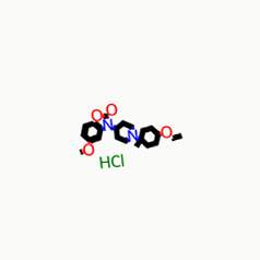 CCOC1CCC(C)(N2CCC(n3c(=O)oc4ccc(OC)cc43)CC2)CC1.Cl